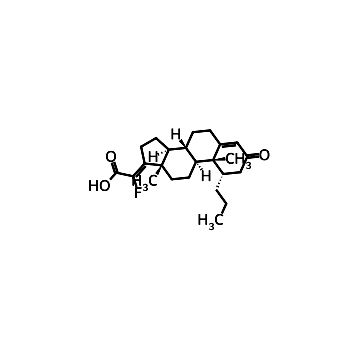 CCC[C@H]1CC(=O)C=C2CC[C@@H]3[C@H](CC[C@]4(C)C(=C(F)C(=O)O)CC[C@@H]34)[C@]21C